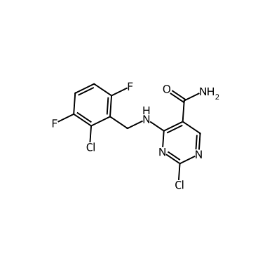 NC(=O)c1cnc(Cl)nc1NCc1c(F)ccc(F)c1Cl